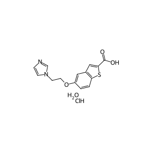 Cl.O.O=C(O)c1cc2cc(OCCn3ccnc3)ccc2s1